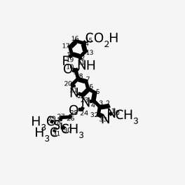 Cn1cc(-c2cc3cc(C(=O)Nc4cc(C(=O)O)ccc4F)cnc3n2COCC[Si](C)(C)C)cn1